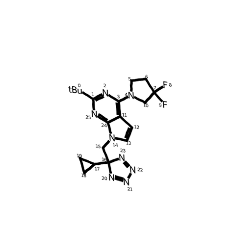 CC(C)(C)c1nc(N2CCC(F)(F)C2)c2ccn(CC3(C4CC4)N=NN=N3)c2n1